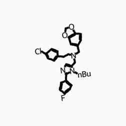 CCCCn1c(CN(CCc2ccc(Cl)cc2)Cc2ccc3c(c2)OCO3)cnc1-c1ccc(F)cc1